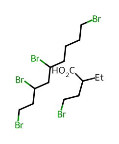 BrCCCCC(Br)CC(Br)CCBr.CCC(CCBr)C(=O)O